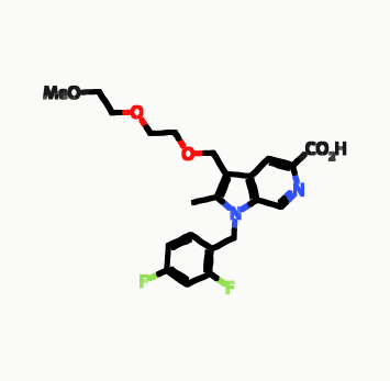 COCCOCCOCc1c(C)n(Cc2ccc(F)cc2F)c2cnc(C(=O)O)cc12